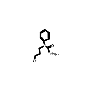 CCCCCCCC(=O)N(CCC[O])c1ccccc1